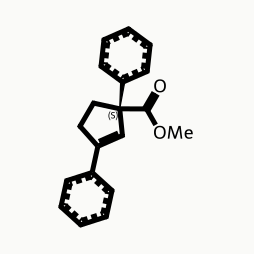 COC(=O)[C@]1(c2ccccc2)C=C(c2ccccc2)CC1